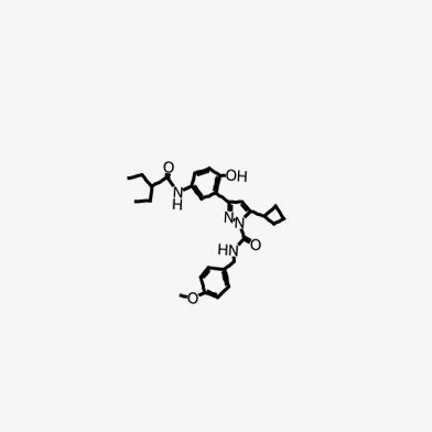 CCC(CC)C(=O)Nc1ccc(O)c(-c2cc(C3CCC3)n(C(=O)NCc3ccc(OC)cc3)n2)c1